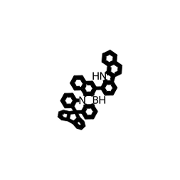 B1c2cccc3c2N(c2ccccc2C32c3ccccc3C3C=CC=CC32)c2c1c(-c1cccc3c1[nH]c1c4ccccc4ccc31)cc1ccccc21